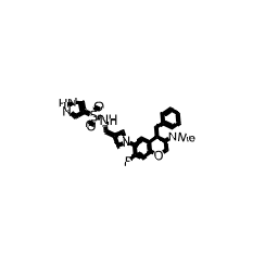 CNC1COc2cc(F)c(N3CC(CNS(=O)(=O)c4cn[nH]c4)C3)cc2C1Cc1ccccc1